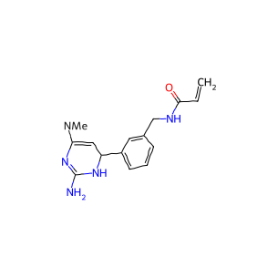 C=CC(=O)NCc1cccc(C2C=C(NC)N=C(N)N2)c1